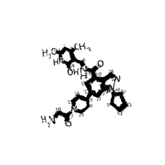 CC1=CC(C)=C(CNC(=O)c2cc(C3=CCN(C(=O)CN)CC3)cc3c2cnn3C2CCCC2)C(O)N1